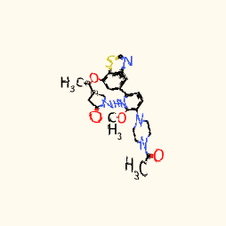 COc1nc(-c2cc(O[C@H](C)[C@H]3CNC(=O)C3)c3scnc3c2)ccc1N1CCN(C(C)=O)CC1